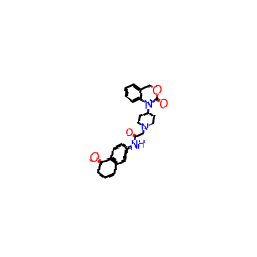 O=C(CN1CCC(N2C(=O)OCc3ccccc32)CC1)Nc1ccc2c(c1)CCCC2=O